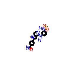 CN(C)C(=O)c1ccc(-c2cc3c(Nc4cccc(NS(C)(=O)=O)c4)nccc3n2C)cc1